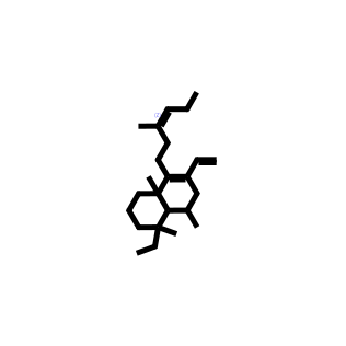 C=CC1=C(CC/C(C)=C\CC)C2(C)CCCC(C)(CC)C2C(C)C1